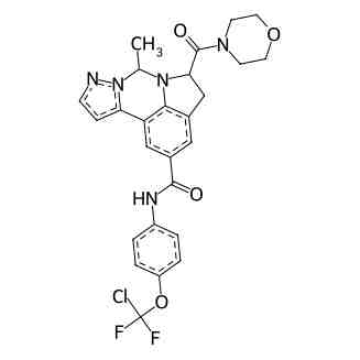 CC1N2c3c(cc(C(=O)Nc4ccc(OC(F)(F)Cl)cc4)cc3-c3ccnn31)CC2C(=O)N1CCOCC1